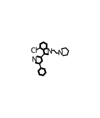 Clc1cccc2c1c(-c1cncc(-c3ccccc3)c1)cn2CCN1CCCCC1